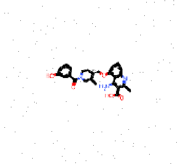 Cc1nc2cccc(OC[C@@H]3CCN(C(=O)c4cccc(O)c4)CC3C)c2c(N)c1C(=O)O